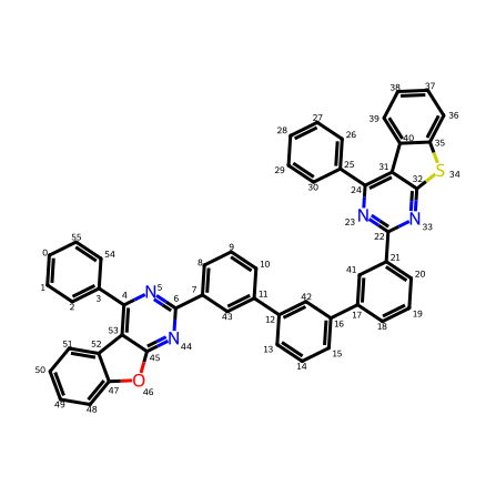 c1ccc(-c2nc(-c3cccc(-c4cccc(-c5cccc(-c6nc(-c7ccccc7)c7c(n6)sc6ccccc67)c5)c4)c3)nc3oc4ccccc4c23)cc1